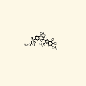 COC(=O)CS(=O)(=O)c1ccc([C@@H](C)NC(=O)c2cc3c(Cl)c(Cl)c(C)nc3n2C)cc1